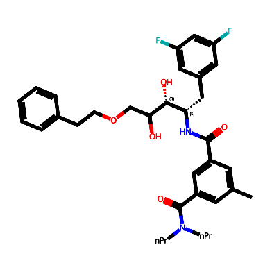 CCCN(CCC)C(=O)c1cc(C)cc(C(=O)N[C@@H](Cc2cc(F)cc(F)c2)[C@@H](O)C(O)COCCc2ccccc2)c1